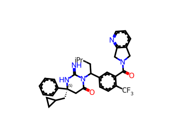 CC(C)CC(c1ccc(C(F)(F)F)c(C(=O)N2Cc3cccnc3C2)c1)N1C(=N)N[C@](CC2CC2)(c2ccccc2)CC1=O